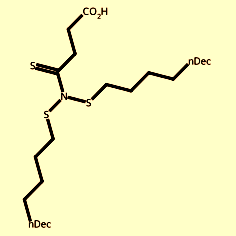 CCCCCCCCCCCCCCSN(SCCCCCCCCCCCCCC)C(=S)CCC(=O)O